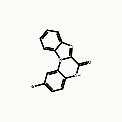 O=c1[nH]c2ccc(Br)cc2n2c1nc1ccccc12